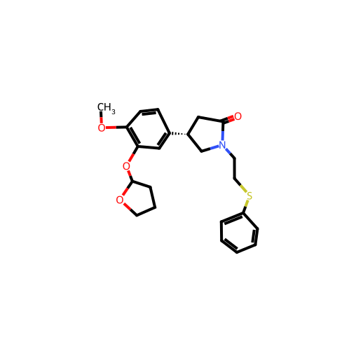 COc1ccc([C@@H]2CC(=O)N(CCSc3ccccc3)C2)cc1OC1CCCO1